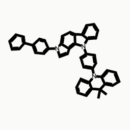 CC1(C)c2ccccc2N(c2ccc(-n3c4ccccc4c4ccc5c(ccn5-c5ccc(-c6ccccc6)cc5)c43)cc2)c2ccccc21